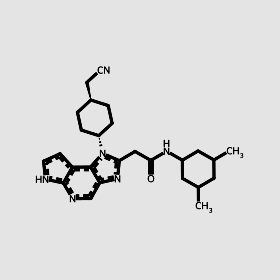 CC1CC(C)CC(NC(=O)Cc2nc3cnc4[nH]ccc4c3n2[C@H]2CC[C@H](CC#N)CC2)C1